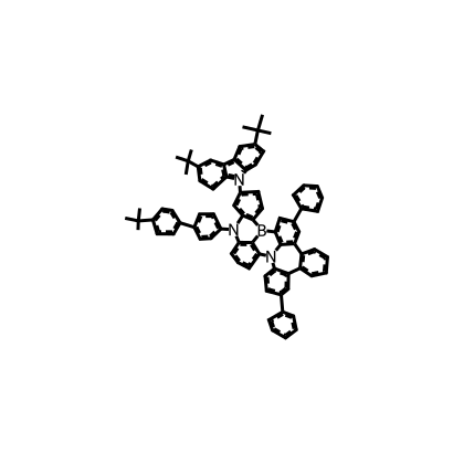 CC(C)(C)c1ccc(-c2ccc(N3c4cc(-n5c6ccc(C(C)(C)C)cc6c6cc(C(C)(C)C)ccc65)ccc4B4c5cc(-c6ccccc6)cc6c5N(c5ccc(-c7ccccc7)cc5-c5ccccc5-6)c5cccc3c54)cc2)cc1